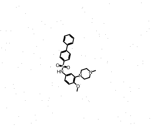 COc1ccc(NS(=O)(=O)c2ccc(-c3ccccc3)cc2)cc1N1CCN(C)CC1